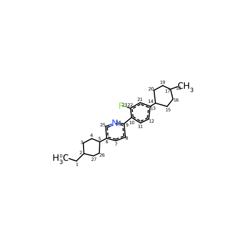 CCC1CCC(c2ccc(-c3ccc(C4CCC(C)CC4)cc3F)nc2)CC1